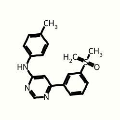 C=S(C)(=O)c1cccc(-c2cc(Nc3ccc(C)cc3)ncn2)c1